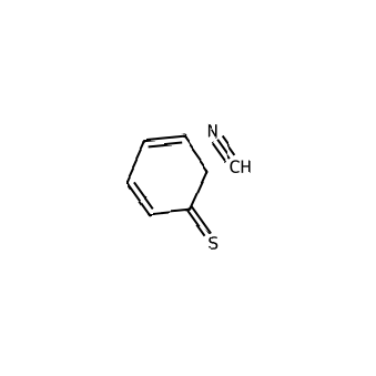 C#N.S=C1C=CC=CC1